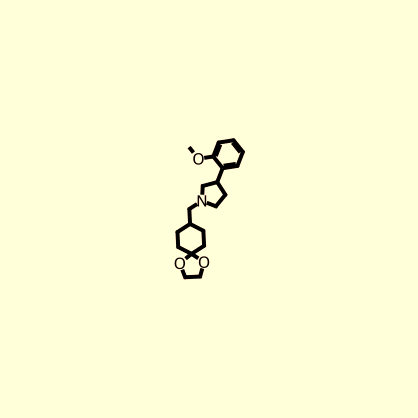 COc1ccccc1C1CCN(CC2CCC3(CC2)OCCO3)C1